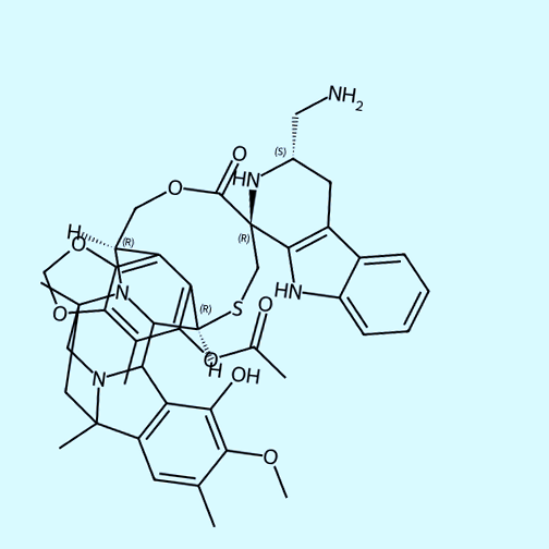 COc1c(C)cc2c(c1O)C1C3[C@@H]4SC[C@]5(N[C@H](CN)Cc6c5[nH]c5ccccc65)C(=O)OC[C@@H](c5c6c(c(C)c(OC(C)=O)c54)OCO6)N3C3(C)CN1C2(C)C3